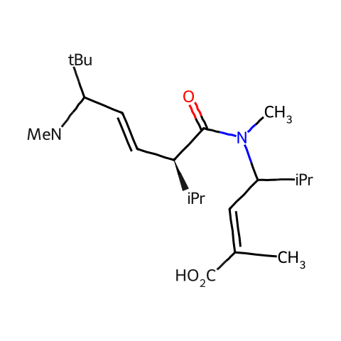 CNC(/C=C/[C@@H](C(=O)N(C)C(/C=C(\C)C(=O)O)C(C)C)C(C)C)C(C)(C)C